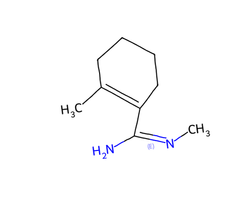 C/N=C(/N)C1=C(C)CCCC1